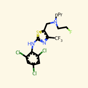 CCCN(CCF)Cc1sc(Nc2c(Cl)cc(Cl)cc2Cl)nc1C(F)(F)F